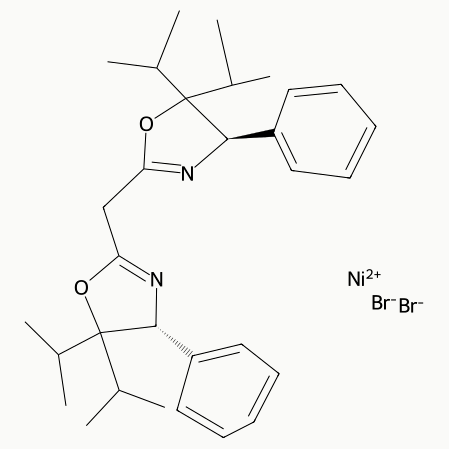 CC(C)C1(C(C)C)OC(CC2=N[C@H](c3ccccc3)C(C(C)C)(C(C)C)O2)=N[C@@H]1c1ccccc1.[Br-].[Br-].[Ni+2]